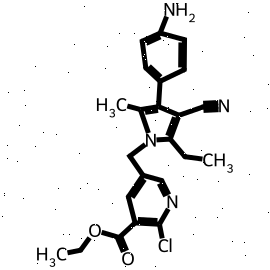 CCOC(=O)c1cc(Cn2c(C)c(-c3ccc(N)cc3)c(C#N)c2CC)cnc1Cl